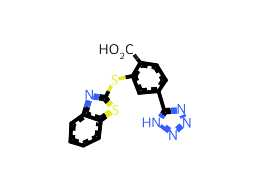 O=C(O)c1ccc(-c2nnn[nH]2)cc1Sc1nc2ccccc2s1